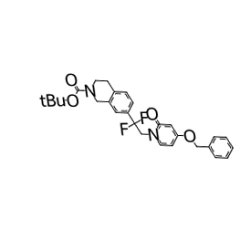 CC(C)(C)OC(=O)N1CCc2ccc(C(F)(F)Cn3ccc(OCc4ccccc4)cc3=O)cc2C1